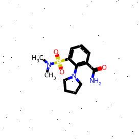 CN(C)S(=O)(=O)c1cccc(C(N)=O)c1N1CCCC1